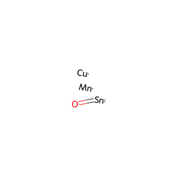 [Cu].[Mn].[O]=[Sn]